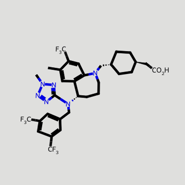 Cc1cc2c(cc1C(F)(F)F)N(C[C@H]1CC[C@H](CC(=O)O)CC1)CCC[C@@H]2N(Cc1cc(C(F)(F)F)cc(C(F)(F)F)c1)c1nnn(C)n1